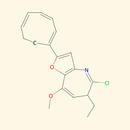 CCC1C=C(OC)c2oc(/C3=C/C=C\C=C/CC3)cc2N=C1Cl